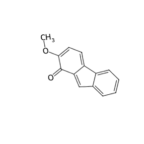 COC1=CC=C2C(=Cc3ccccc32)C1=O